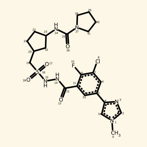 Cn1cnc(-c2cc(Cl)c(F)c(C(=O)NNS(=O)(=O)CC3CCC(NC(=O)N4CCCC4)C3)c2)c1